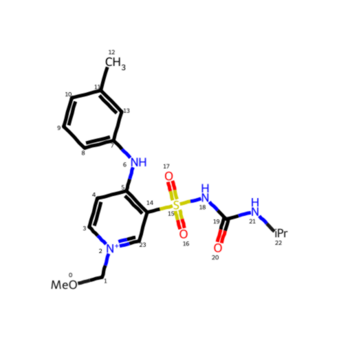 COC[n+]1ccc(Nc2cccc(C)c2)c(S(=O)(=O)NC(=O)NC(C)C)c1